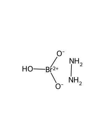 NN.[O-][Br+2]([O-])O